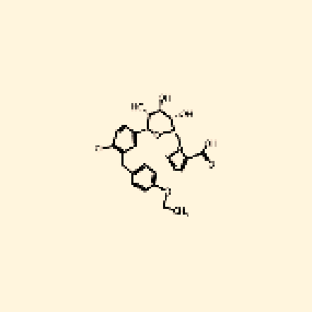 CCOc1ccc(Cc2cc([C@@H]3O[C@H](Cn4nccc4C(=O)O)[C@@H](O)[C@H](O)[C@H]3O)ccc2Cl)cc1